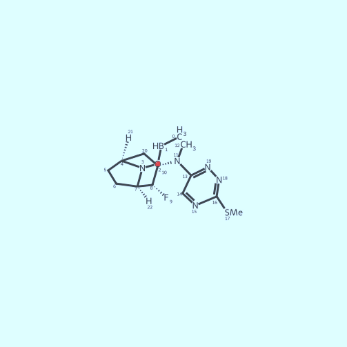 CBON1[C@H]2CC[C@@H]1[C@@H](F)[C@@H](N(C)c1cnc(SC)nn1)C2